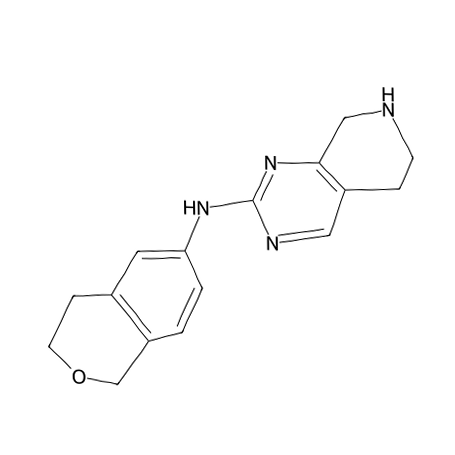 c1cc2c(cc1Nc1ncc3c(n1)CNCC3)CCOC2